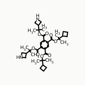 CC(C)(OC(=O)c1cc(C(=O)OC(C)(C)C2CCC2)c(C(=O)OC(C)(C)C2CNC2)cc1C(=O)OC(C)(C)C1CNC1)C1CCC1